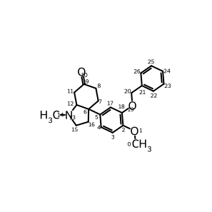 COc1ccc(C23CCC(=O)CC2N(C)CC3)cc1OCc1ccccc1